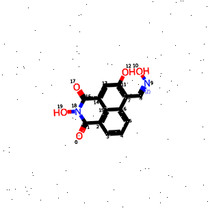 O=C1c2cccc3c(/C=N\O)c(O)cc(c23)C(=O)N1O